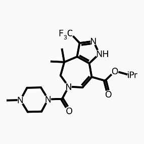 CC(C)OC(=O)C1=CN(C(=O)N2CCN(C)CC2)CC(C)(C)c2c(C(F)(F)F)n[nH]c21